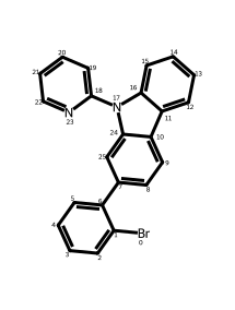 Brc1ccccc1-c1ccc2c3ccccc3n(-c3ccccn3)c2c1